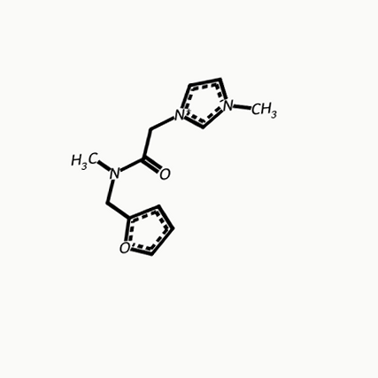 CN(Cc1ccco1)C(=O)C[n+]1ccn(C)c1